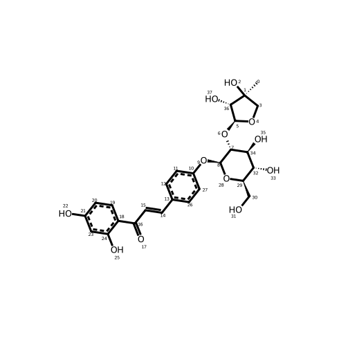 [CH2][C@]1(O)CO[C@@H](O[C@H]2[C@H](Oc3ccc(/C=C/C(=O)c4ccc(O)cc4O)cc3)O[C@H](CO)[C@@H](O)[C@@H]2O)[C@@H]1O